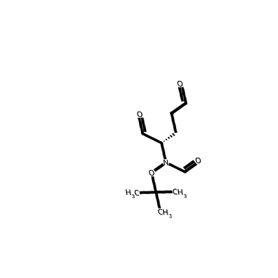 CC(C)(C)ON(C=O)[C@H](C=O)CCC=O